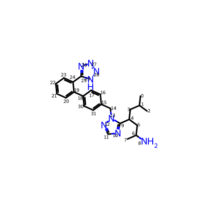 CC(C)CC(CC(C)N)c1ncnn1Cc1ccc(-c2ccccc2-c2nnn[nH]2)cc1